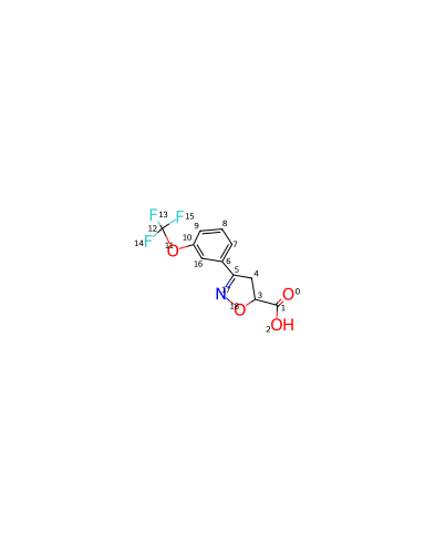 O=C(O)C1CC(c2cccc(OC(F)(F)F)c2)=NO1